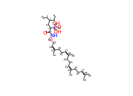 CCC(CC)CC(C(=O)NOCC=C(C)CCC=C(C)CCC=C(C)CCC=C(C)C)P(=O)(O)O